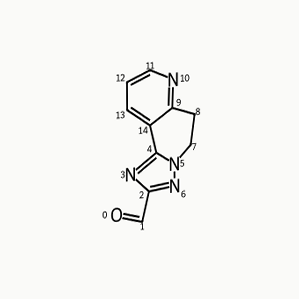 O=Cc1nc2n(n1)CCc1ncccc1-2